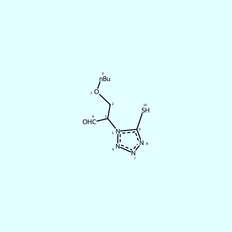 CCCCOCC(C=O)n1nnnc1S